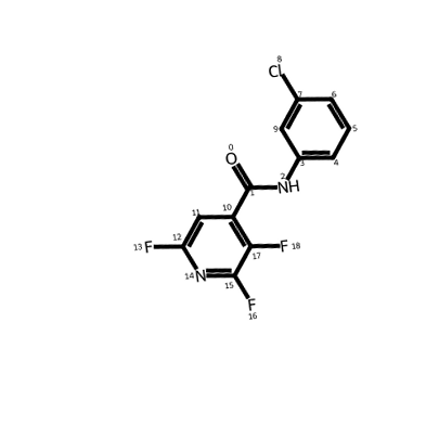 O=C(Nc1cccc(Cl)c1)c1cc(F)nc(F)c1F